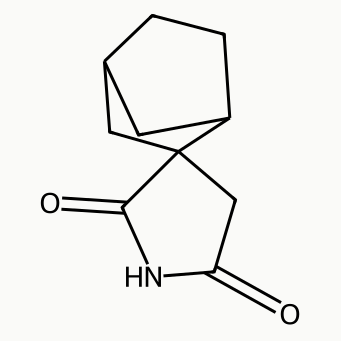 O=C1CC2(CC3CCC2C3)C(=O)N1